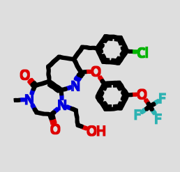 CN1CC(=O)N(CCO)C2=C(CCC(Cc3ccc(Cl)cc3)C(Oc3cccc(OC(F)(F)F)c3)=N2)C1=O